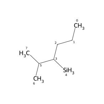 CCCC([SiH3])C(C)C